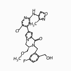 COC[C@H]1Cn2cc(-c3cc(Nc4conc4C)ncc3Cl)cc2C(=O)N1Cc1cc(F)ccc1CO